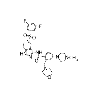 CN1CCN(c2ccc(C(=O)Nc3n[nH]c4c3CN(S(=O)(=O)c3cc(F)cc(F)c3)CC4)c(CN3CCOCC3)c2)CC1